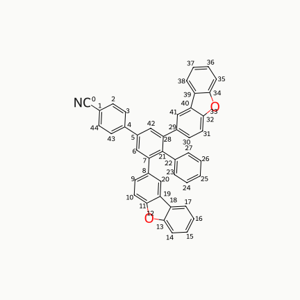 N#Cc1ccc(-c2cc(-c3ccc4oc5ccccc5c4c3)c(-c3ccccc3)c(-c3ccc4oc5ccccc5c4c3)c2)cc1